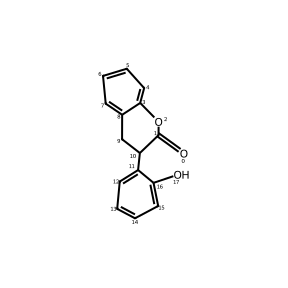 O=C1Oc2ccccc2CC1c1ccccc1O